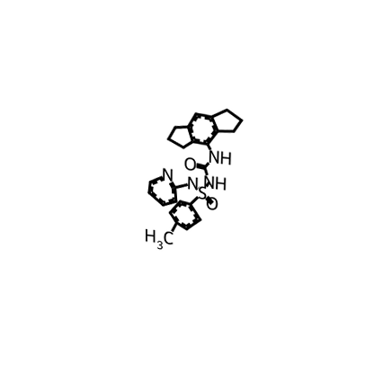 Cc1ccc(S(=O)(=Nc2ccccn2)NC(=O)Nc2c3c(cc4c2CCC4)CCC3)cc1